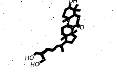 CC(CCC=C(CO)CO)C1CCC2(C)C3=C(CCC12C)C1(C)CCC(O)C(C)(C)C1CC3=O